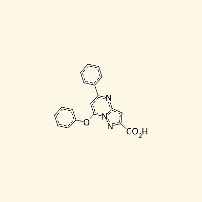 O=C(O)c1cc2nc(-c3ccccc3)cc(Oc3ccccc3)n2n1